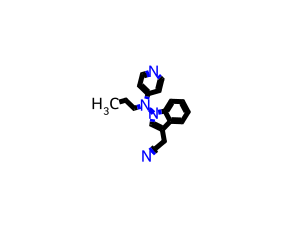 CCCN(c1ccncc1)n1cc(CC#N)c2ccccc21